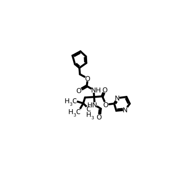 CC(C)(C)CC(NC=O)(NC(=O)OCc1ccccc1)C(=O)Oc1cnccn1